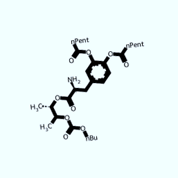 CCCCCC(=O)Oc1ccc(C[C@H](N)C(=O)O[C@@H](C)C(C)OC(=O)OCCCC)cc1OC(=O)CCCCC